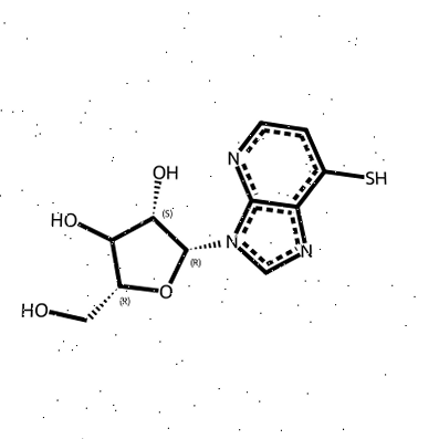 OC[C@H]1O[C@@H](n2cnc3c(S)ccnc32)[C@@H](O)C1O